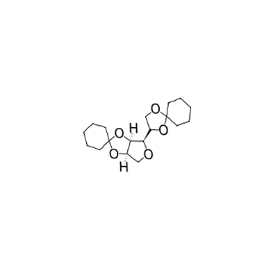 C1CCC2(CC1)OCC([C@H]1OC[C@H]3OC4(CCCCC4)O[C@@H]13)O2